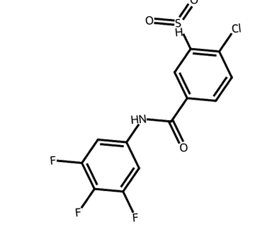 O=C(Nc1cc(F)c(F)c(F)c1)c1ccc(Cl)c([SH](=O)=O)c1